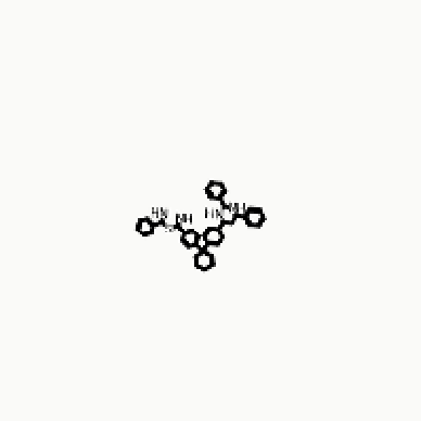 N=C(SC(=N)c1ccc(C2(C3=CCC(C4CC(c5ccccc5)NC(C5=CCCC=C5)N4)C=C3)CCCCC2)cc1)c1ccccc1